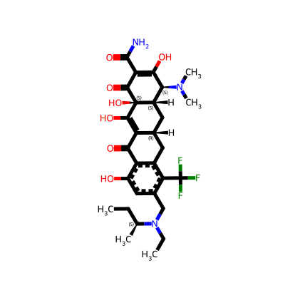 CC[C@H](C)N(CC)Cc1cc(O)c2c(c1C(F)(F)F)C[C@H]1C[C@H]3[C@H](N(C)C)C(O)=C(C(N)=O)C(=O)[C@@]3(O)C(O)=C1C2=O